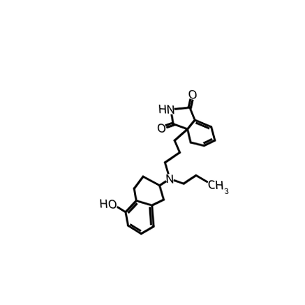 CCCN(CCCC12CC=CC=C1C(=O)NC2=O)C1CCc2c(O)cccc2C1